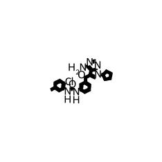 Cc1ccc(Cl)c(NC(=O)Nc2cccc(C(=O)c3cn(C4CCCC4)c4ncnc(N)c34)c2)c1